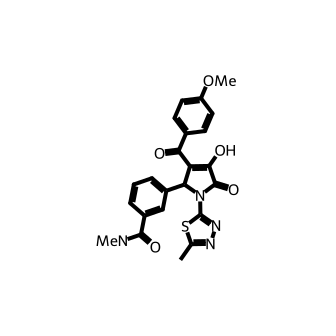 CNC(=O)c1cccc(C2C(C(=O)c3ccc(OC)cc3)=C(O)C(=O)N2c2nnc(C)s2)c1